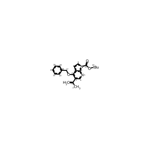 C=C(C)c1cnc2c(ccn2C(=O)OC(C)(C)C)c1OCc1ccccc1